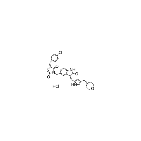 Cl.O=C1Nc2ccc(CN3C(=O)SC(=Cc4ccc(Cl)cc4)C3=O)cc2C1=Cc1cc(CN2CCOCC2)c[nH]1